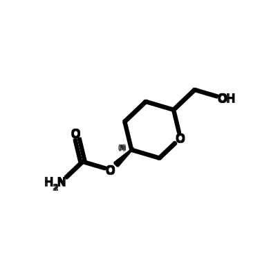 NC(=O)O[C@H]1CCC(CO)OC1